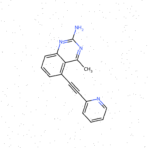 Cc1nc(N)nc2cccc(C#Cc3ccccn3)c12